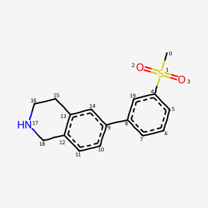 CS(=O)(=O)c1cccc(-c2ccc3c(c2)CCNC3)c1